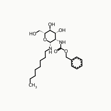 CCCCCCCCN[C@@H]1O[C@H](CO)[C@@H](O)[C@H](O)[C@@H]1NC(=O)OCc1ccccc1